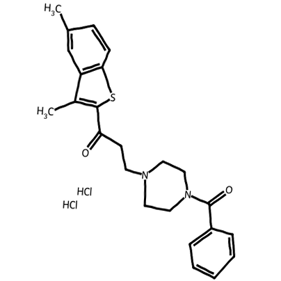 Cc1ccc2sc(C(=O)CCN3CCN(C(=O)c4ccccc4)CC3)c(C)c2c1.Cl.Cl